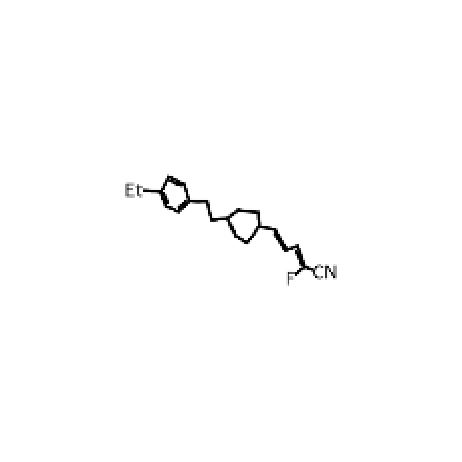 CCc1ccc(CCC2CCC(C=CC=C(F)C#N)CC2)cc1